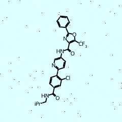 CC(C)CNC(=O)c1ccc(-c2ccc(NC(=O)c3nc(-c4ccccc4)oc3C(F)(F)F)cn2)c(Cl)c1